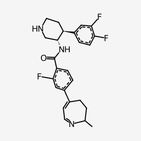 CC1CCC(c2ccc(C(=O)N[C@@H]3CNCC[C@H]3c3ccc(F)c(F)c3)c(F)c2)=CC=N1